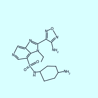 CCn1c(-c2nonc2N)nc2cncc(S(=O)(=O)NC3CCC(N)CC3)c21